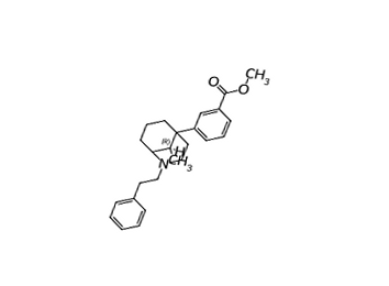 COC(=O)c1cccc(C23CCCC([C@@H]2C)N(CCc2ccccc2)CC3)c1